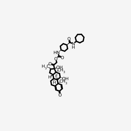 C[C@@H]1C[C@H]2[C@@H]3CCC4=CC(=O)C=C[C@]4(C)[C@@]3(F)[C@@H](O)C[C@]2(C)[C@@]1(O)C(=O)COC(=O)N[C@H]1CC[C@H](C(=O)NC2CCCCCC2)CC1